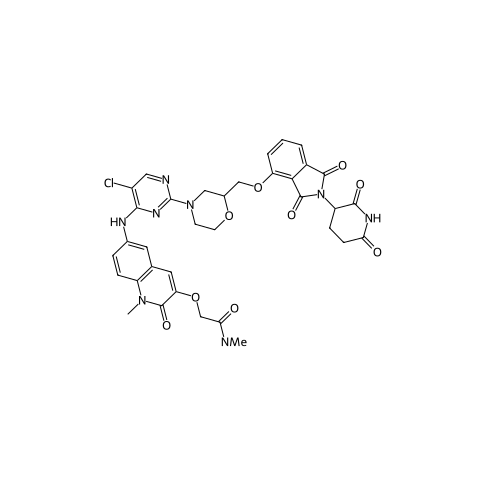 CNC(=O)COc1cc2cc(Nc3nc(N4CCOC(COc5cccc6c5C(=O)N(C5CCC(=O)NC5=O)C6=O)C4)ncc3Cl)ccc2n(C)c1=O